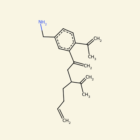 C=CCCC(CC(=C)c1cc(CN)ccc1C(=C)C)C(=C)C